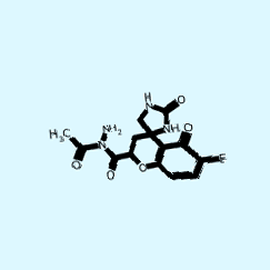 CC(=O)N(N)C(=O)C1CC2(CNC(=O)N2)C2=C(C=CC(F)C2=O)O1